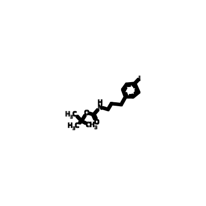 CC(C)(C)OC(=O)NCCCc1ccc(I)cc1